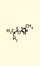 C=C(C)C(=S)Oc1nnc(C)s1